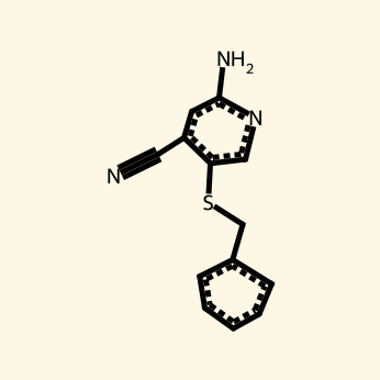 N#Cc1cc(N)ncc1SCc1ccccc1